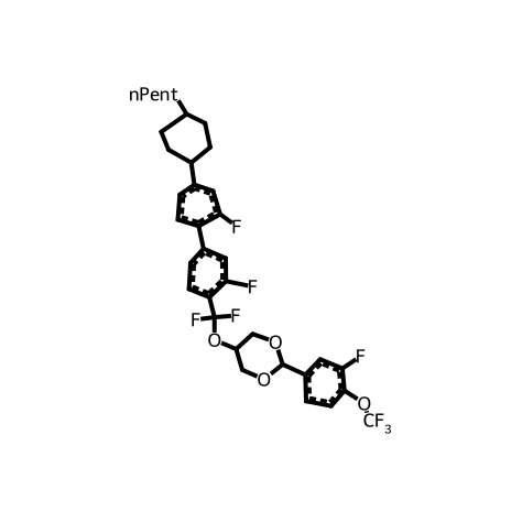 CCCCCC1CCC(c2ccc(-c3ccc(C(F)(F)OC4COC(c5ccc(OC(F)(F)F)c(F)c5)OC4)c(F)c3)c(F)c2)CC1